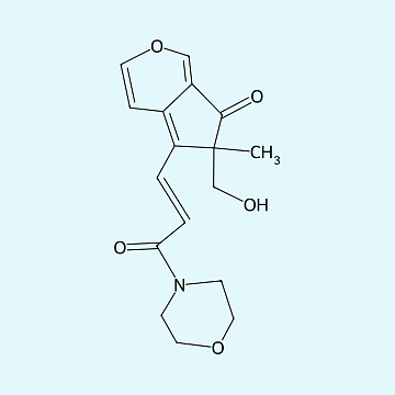 CC1(CO)C(=O)C2=COC=CC2=C1C=CC(=O)N1CCOCC1